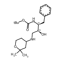 CC(C)(C)OC(=O)N[C@@H](Cc1ccccc1)[C@@H](O)CNC1CCOC(C)(C)C1